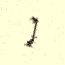 CNC(=O)c1nnccc1Nc1cccc(-c2ncn(CCNC(=O)CCOCCOCCOCCOCCOCCNc3cccc4c3C(=O)N(C3CCC(=O)NC3=O)C4=O)n2)c1OC